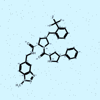 Cn1nnc2cc(CNC(=O)[C@@H]3C[C@@H](Cc4ccccc4C(F)(F)F)CN3C(=O)[C@H]3C[C@@H](c4ccccc4)CN3)ccc21